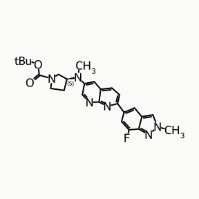 CN(c1cnc2nc(-c3cc(F)c4nn(C)cc4c3)ccc2c1)[C@H]1CCN(C(=O)OC(C)(C)C)C1